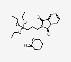 C1CC[SiH2]OC1.CCO[Si](CCCN1C(=O)c2ccccc2C1=O)(OCC)OCC